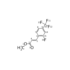 COC(=O)/C=C/c1ccc(C(F)(F)F)cc1F